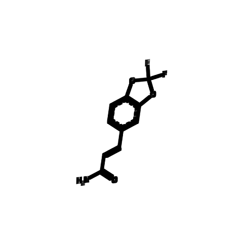 NC(=O)/C=C/c1ccc2c(c1)OC(F)(F)O2